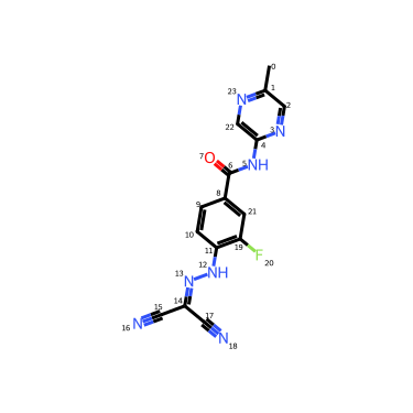 Cc1cnc(NC(=O)c2ccc(NN=C(C#N)C#N)c(F)c2)cn1